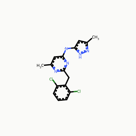 Cc1cc([N]c2cc(C)nc(Cc3c(Cl)cccc3Cl)n2)[nH]n1